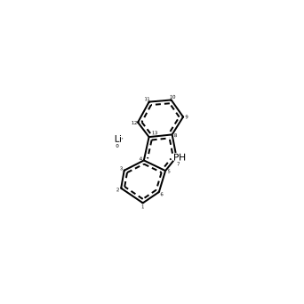 [Li].c1ccc2c(c1)[pH]c1ccccc12